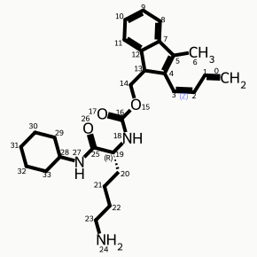 C=C/C=C\C1=C(C)c2ccccc2C1COC(=O)N[C@H](CCCCN)C(=O)NC1CCCCC1